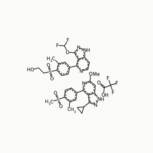 COc1cc2[nH]nc(C3CC3)c2c(-c2ccc(S(C)(=O)=O)c(C)c2)n1.Cc1cc(-c2nccc3[nH]nc(OC(F)F)c23)ccc1S(=O)(=O)CCO.O=C(O)C(F)(F)F